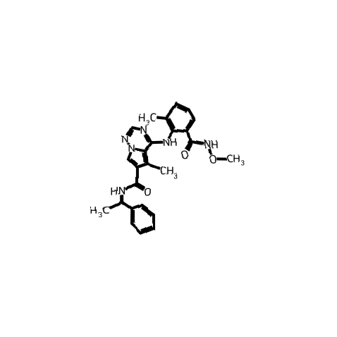 CONC(=O)c1cccc(C)c1Nc1ncnn2cc(C(=O)NC(C)c3ccccc3)c(C)c12